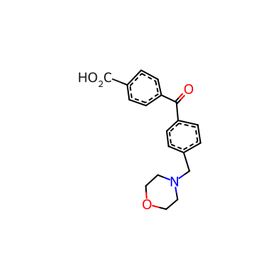 O=C(O)c1ccc(C(=O)c2ccc(CN3CCOCC3)cc2)cc1